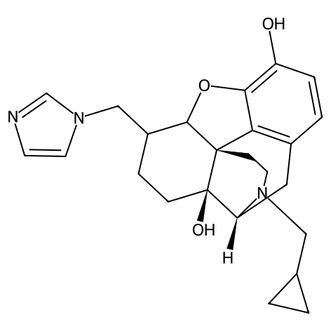 Oc1ccc2c3c1OC1C(Cn4ccnc4)CC[C@@]4(O)[C@@H](C2)N(CC2CC2)CC[C@]314